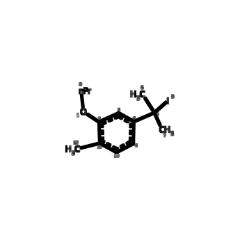 CCCOc1cc(C(C)(C)I)ccc1C